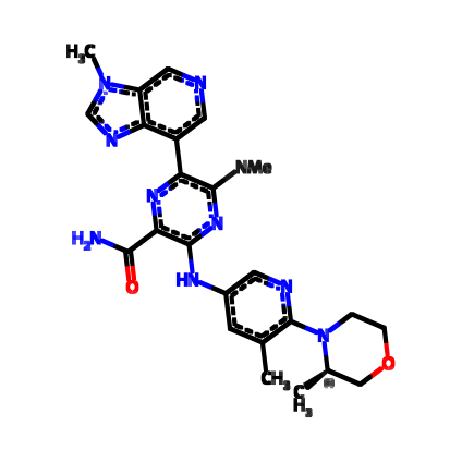 CNc1nc(Nc2cnc(N3CCOC[C@H]3C)c(C)c2)c(C(N)=O)nc1-c1cncc2c1ncn2C